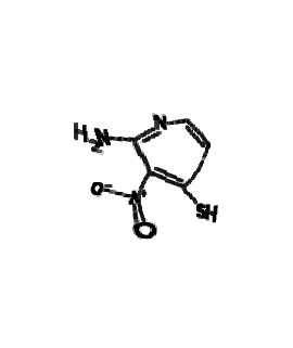 Nc1nccc(S)c1[N+](=O)[O-]